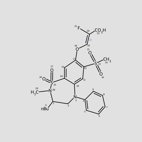 CCCCC1CN(c2ccccc2)c2cc(S(C)(=O)=O)c(O/C=C(\F)C(=O)O)cc2S(=O)(=O)N1C